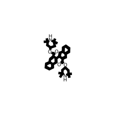 CC1(C)CC(OC(=O)c2cc3ccccc3cc2-c2cc3ccccc3cc2C(=O)OC2CC(C)(C)NC(C)(C)C2)CC(C)(C)N1